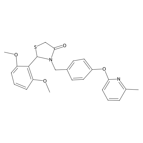 COc1cccc(OC)c1C1SCC(=O)N1Cc1ccc(Oc2cccc(C)n2)cc1